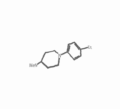 [CH2]Cc1ccc(N2CCC(NC)CC2)cc1